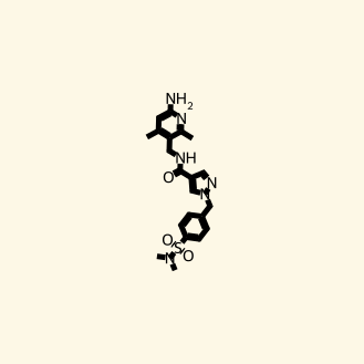 Cc1cc(N)nc(C)c1CNC(=O)c1cnn(Cc2ccc(S(=O)(=O)N(C)C)cc2)c1